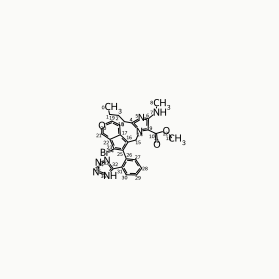 CCCCc1nc(NC)c(C(=O)OC)n1Cc1c2ccocc-2c(Br)c1-c1ccccc1-c1nnn[nH]1